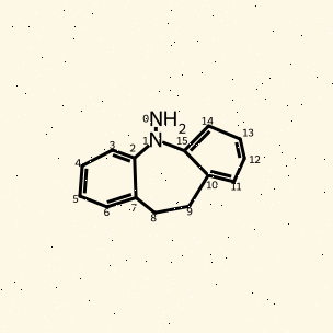 NN1c2ccccc2CCc2ccccc21